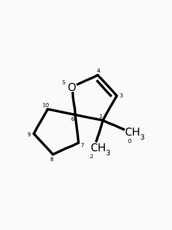 CC1(C)C=COC12CCCC2